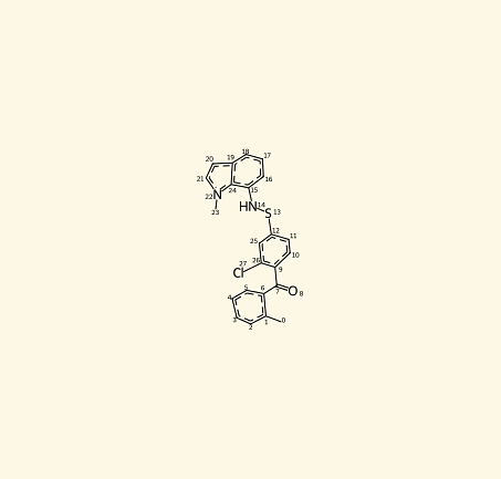 Cc1ccccc1C(=O)c1ccc(SNc2cccc3ccn(C)c23)cc1Cl